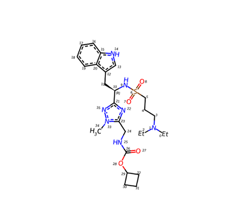 CCN(CC)CCCS(=O)(=O)N[C@H](Cc1c[nH]c2ccccc12)c1nc(CNC(=O)OC2CCC2)n(C)n1